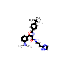 CN(C)c1cccc(-c2oc(-c3ccc(C(C)(C)C)cc3)nc2C(=O)NCCCc2ncc[nH]2)c1